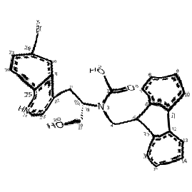 O=C(O)N(CC1c2ccccc2-c2ccccc21)[C@H](CO)Cc1c[nH]c2ccc(Br)cc12